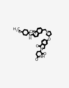 COC1CCC(C)(Nc2ccc3cc(CN4CC[C@H](Oc5ccc6c(c5)CN(C5CCC(=O)NC5=O)C6=O)C4)ccc3n2)CC1